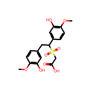 COc1ccc(CC(c2ccc(OC)c(O)c2)S(=O)(=O)CC(=O)O)cc1O